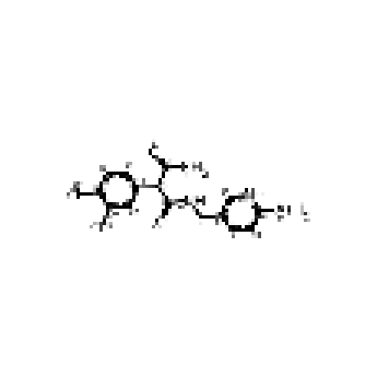 NC(=O)[C@@H](C(=O)NCc1ccc([AsH2])nc1)c1ccc(Cl)c(Cl)c1